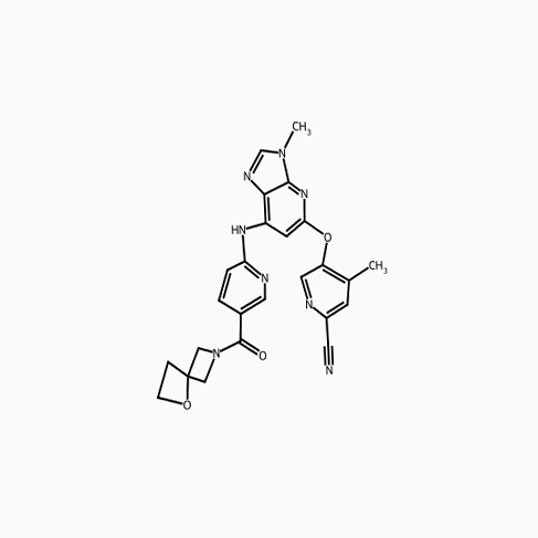 Cc1cc(C#N)ncc1Oc1cc(Nc2ccc(C(=O)N3CC4(CCO4)C3)cn2)c2ncn(C)c2n1